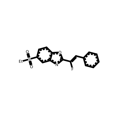 CCS(=O)(=O)c1ccc2oc(/C(F)=C/c3ccccc3)nc2c1